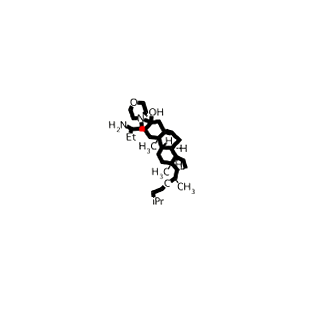 CCC(N)C[N+]1(C2(O)CC[C@@]3(C)C(=CC[C@H]4[C@@H]5CC[C@H]([C@H](C)CCCC(C)C)[C@@]5(C)CC[C@@H]43)C2)CCOCC1